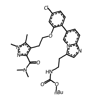 CCCCOC(=O)NCCc1cnc2ccc(-c3ccc(Cl)cc3OCCc3c(C(=O)N(C)C)nn(C)c3C)cn12